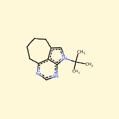 CC(C)(C)n1cc2c3c(ncnc31)CCCC2